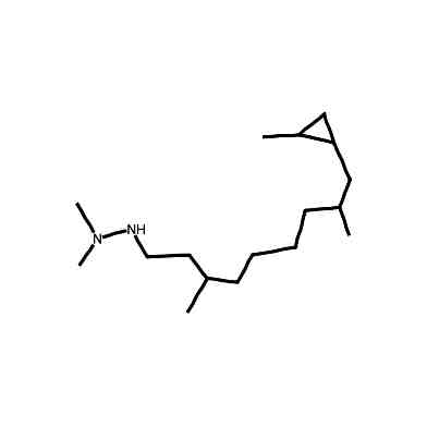 CC(CCCCC(C)CC1CC1C)CCNN(C)C